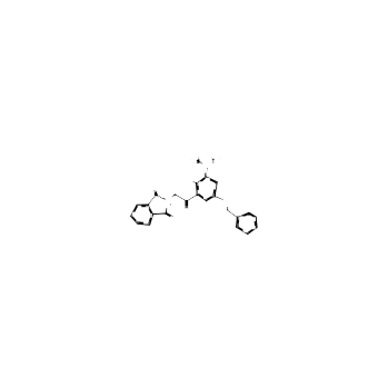 O=C(CN1C(=O)c2ccccc2C1=O)c1cc(OCc2ccccc2)cc([N+](=O)[O-])c1O